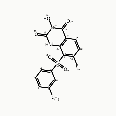 Cc1cccc(S(=O)(=O)c2c(F)ccc3c(=O)n(O)c(=O)[nH]c23)c1